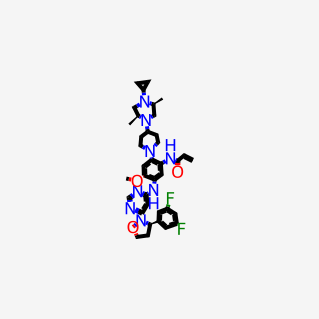 C=CC(=O)Nc1cc(Nc2cc(N3OCC[C@@H]3c3cc(F)cc(F)c3)ncn2)c(OC)cc1N1CCC(N2C[C@H](C)N(C3CC3)C[C@@H]2C)CC1